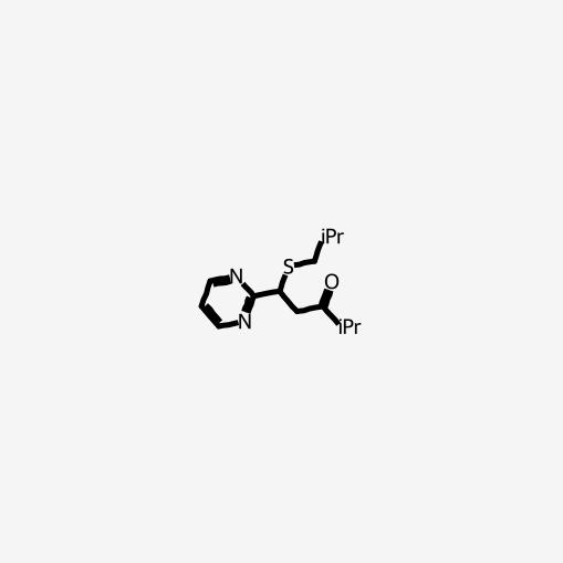 CC(C)CSC(CC(=O)C(C)C)c1ncccn1